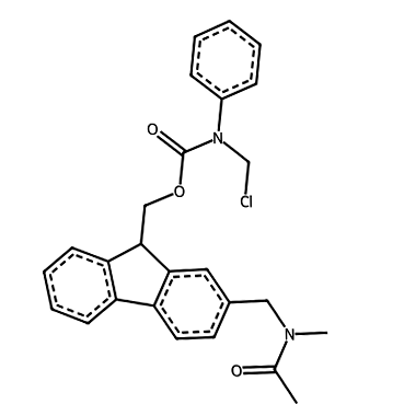 CC(=O)N(C)Cc1ccc2c(c1)C(COC(=O)N(CCl)c1ccccc1)c1ccccc1-2